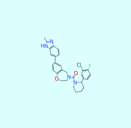 Cc1nc2ccc(-c3ccc4c(c3)CN(C(=O)N3CCCCC3c3ccc(F)c(Cl)c3)CCO4)cc2[nH]1